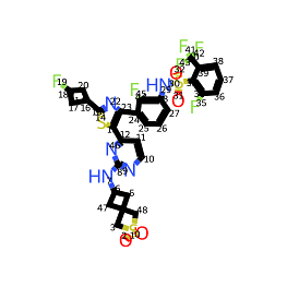 O=S1(=O)CC2(CC(Nc3nccc(-c4sc(C56CC(F)(C5)C6)nc4-c4cccc(NS(=O)(=O)c5c(F)cccc5C(F)(F)F)c4F)n3)C2)C1